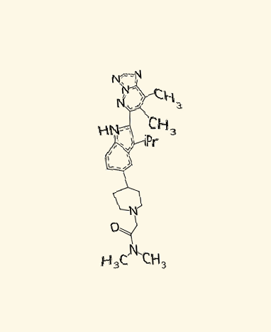 Cc1c(-c2[nH]c3ccc(C4CCN(CC(=O)N(C)C)CC4)cc3c2C(C)C)nn2ncnc2c1C